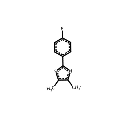 [CH2]c1nc(-c2ccc(F)cc2)sc1C